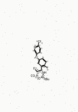 CC(C)(C)[S@@+]([O-])N[C@@H](c1cc(Oc2ccc(C(F)(F)F)nc2)ccc1F)[C@@H](F)C(=O)O